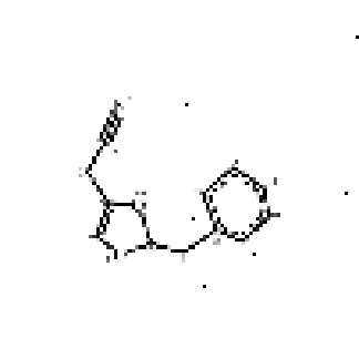 N#CCC1=COC(Cc2ccccc2)O1